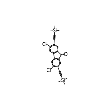 C[Si](C)(C)C#Cc1cc2c(cc1Cl)-c1cc(Cl)c(C#C[Si](C)(C)C)cc1C2=O